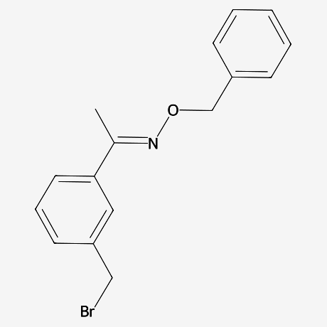 C/C(=N\OCc1ccccc1)c1cccc(CBr)c1